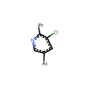 CC(=O)c1cnc(C(C)C)c(Cl)c1